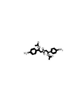 CC(=O)NC(CS(=O)(=O)CC(NC(C)=O)c1ccc(N)cc1)c1ccc(N)cc1